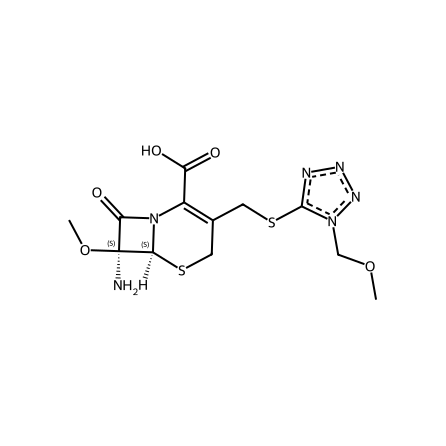 COCn1nnnc1SCC1=C(C(=O)O)N2C(=O)[C@](N)(OC)[C@@H]2SC1